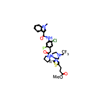 COC(=O)CCc1cnc([C@@H]2CCC[N+]2(C(=O)Cc2cc(Cl)c(NC(=O)c3cn(C)c4ccccc34)cc2F)N2CCN(CC(F)(F)F)CC2)s1